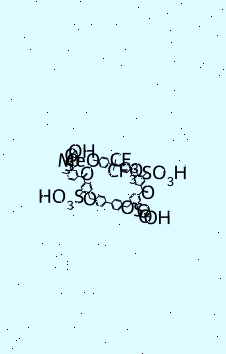 COc1ccc(C(c2ccc(Oc3ccc(C(=O)c4ccc(Oc5ccc(-c6ccc(Oc7ccc(C(=O)c8ccc(C)c(SOOO)c8)cc7S(=O)(=O)O)cc6)cc5)c(SOOO)c4)cc3S(=O)(=O)O)cc2)(C(F)(F)F)C(F)(F)F)cc1